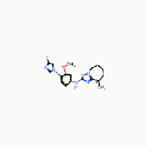 COc1cc(Nc2nc3n(n2)CCCC[C@H]3C)ccc1-n1cnc(Cl)c1